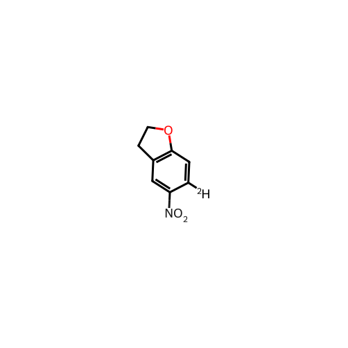 [2H]c1cc2c(cc1[N+](=O)[O-])CCO2